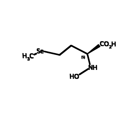 C[Se]CC[C@H](NO)C(=O)O